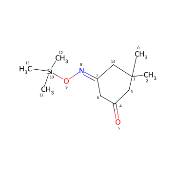 CC1(C)CC(=O)C/C(=N\O[Si](C)(C)C)C1